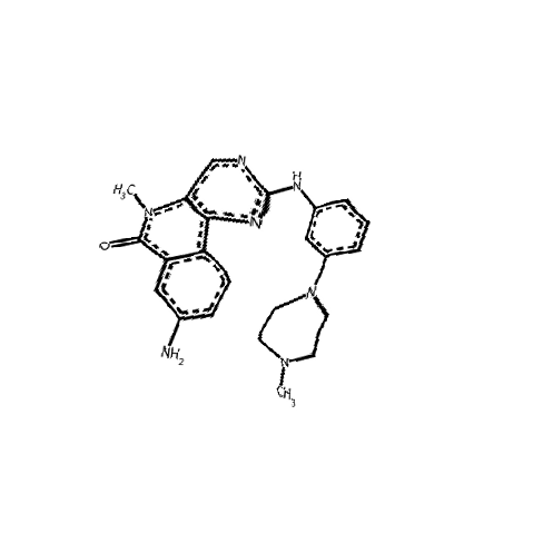 CN1CCN(c2cccc(Nc3ncc4c(n3)c3ccc(N)cc3c(=O)n4C)c2)CC1